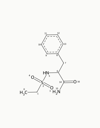 CCS(=O)(=O)NC(Cc1ccccc1)C(N)=O